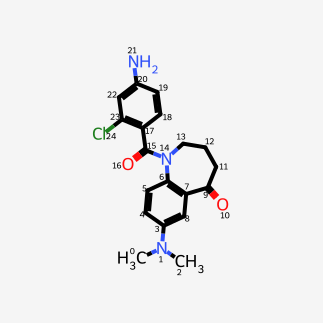 CN(C)c1ccc2c(c1)C(=O)CCCN2C(=O)c1ccc(N)cc1Cl